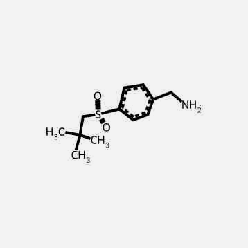 CC(C)(C)CS(=O)(=O)c1ccc(CN)cc1